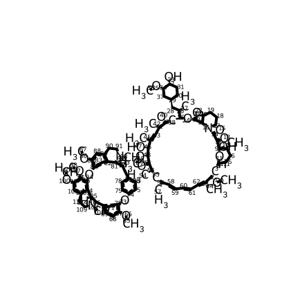 CO[C@H]1C[C@@H]2CC[C@@H](C)[C@@](O)(O2)C(=O)C(=O)N2CCCC[C@H]2C(=O)O[C@H]([C@H](C)C[C@@H]2CC[C@@H](O)[C@H](OC)C2)CC(=O)[C@H](C)/C=C(\C)[C@@H](O)[C@@H](OC)C(=O)[C@H](C)C[C@H](C)/C=C/C=C/C=C/1C.COc1ccc2cc1Oc1ccc(cc1)C[C@H]1c3cc(c(OC)cc3CCN1C)Oc1c(OC)c(OC)cc3c1[C@H](C2)N(C)CC3